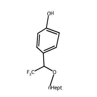 CCCCCCCOC(c1ccc(O)cc1)C(F)(F)F